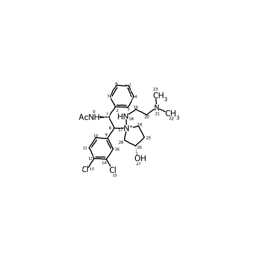 CC(=O)N[C@@H](c1ccccc1)C(c1ccc(Cl)c(Cl)c1)[N+]1(NCCN(C)C)CC[C@H](O)C1